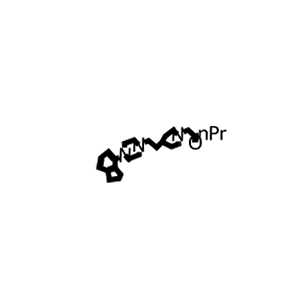 CCCC(=O)CN1CCC(CCN2CCN(c3cccc4c3CCC4)CC2)CC1